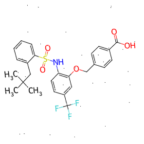 CC(C)(C)Cc1ccccc1S(=O)(=O)Nc1ccc(C(F)(F)F)cc1OCc1ccc(C(=O)O)cc1